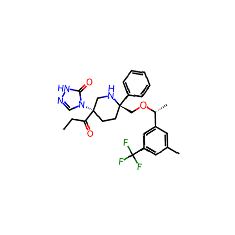 CCC(=O)[C@]1(n2cn[nH]c2=O)CC[C@@](CO[C@H](C)c2cc(C)cc(C(F)(F)F)c2)(c2ccccc2)NC1